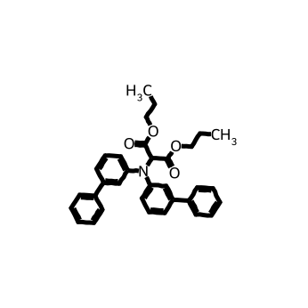 CCCOC(=O)C(C(=O)OCCC)N(c1cccc(-c2ccccc2)c1)c1cccc(-c2ccccc2)c1